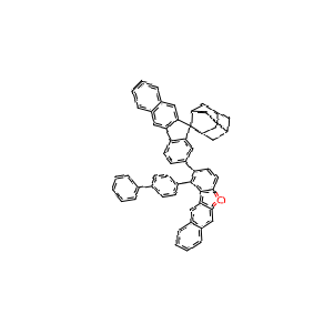 c1ccc(-c2ccc(-c3c(-c4ccc5c(c4)C4(c6cc7ccccc7cc6-5)C5CC6CC(C5)CC4C6)ccc4oc5cc6ccccc6cc5c34)cc2)cc1